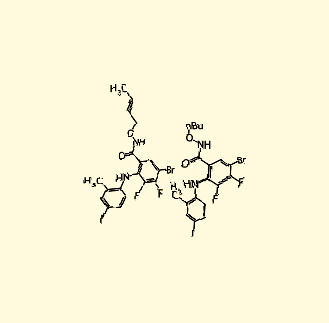 CC=CCONC(=O)c1cc(Br)c(F)c(F)c1Nc1ccc(I)cc1C.CCCCONC(=O)c1cc(Br)c(F)c(F)c1Nc1ccc(I)cc1C